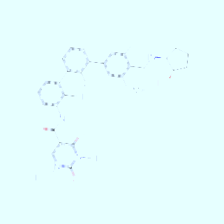 COc1cc(-c2cccc(-c3cccc(NC(=O)c4cn(C)c(=O)n(C)c4=O)c3C)c2C)cc(F)c1CN[C@H]1CCC[C@H]1O